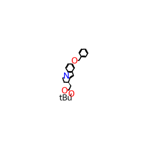 CC(C)(C)OC(=O)C[C@H]1CCn2c1cc1cc(OCc3ccccc3)ccc12